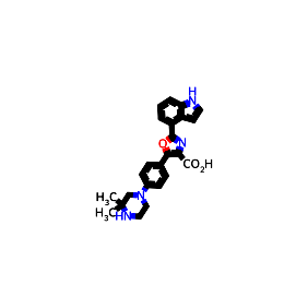 CC1(C)CN(c2ccc(-c3oc(-c4cccc5[nH]ccc45)nc3C(=O)O)cc2)CCN1